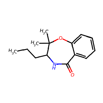 CCCC1NC(=O)c2ccccc2OC1(C)C